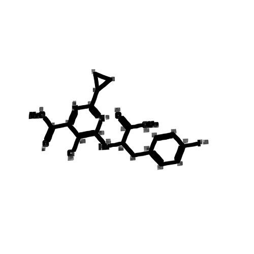 COC(=O)c1nc(C2CC2)nc(NC(Cc2ccc(F)cc2)C(=O)OC)c1Cl